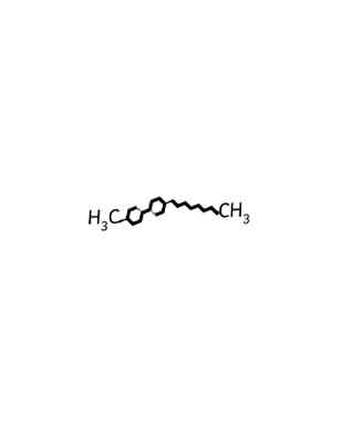 CCCCCCCCC[C@H]1CC[C@H]([C@H]2CC[C@H](CC)CC2)CC1